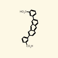 O=C(O)c1cccc(-c2ccc3cc4ccc(-c5cccc(C(=O)O)c5)cc4cc3c2)c1